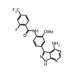 COc1cc(-c2n[nH]c3ncnc(N)c23)ccc1NC(=O)c1ccc(C(F)(F)F)cc1F